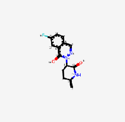 C=C1CCC(n2ncc3ccc(F)cc3c2=O)C(=O)N1